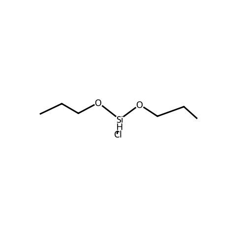 CCCO[SiH](Cl)OCCC